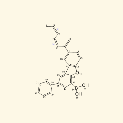 C=C(/C=C\C=C/C)c1ccc2oc3c(B(O)O)cc(-c4ccccc4)cc3c2c1